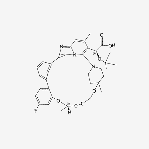 Cc1cc2nc3cn2c(c1[C@H](OC(C)(C)C)C(=O)O)N1CCC(C)(CC1)OCCC[C@H](C)Oc1cc(F)ccc1-c1cccc-3c1